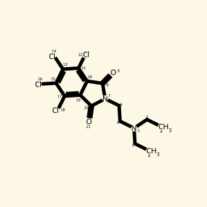 CCN(CC)CCN1C(=O)c2c(Cl)c(Cl)c(Cl)c(Cl)c2C1=O